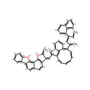 C=C/C(=C\C(=C)c1ccccccc(C(=C)/C=c2\c(=C)oc3c2ccc2ccc4c5ccccc5oc4c23)c2ccccc12)c1cccc2ccccc12